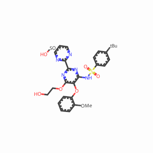 COc1ccccc1Oc1c(NS(=O)(=O)c2ccc(C(C)(C)C)cc2)nc(-c2ncccn2)nc1OCCO.O=S(=O)(O)O